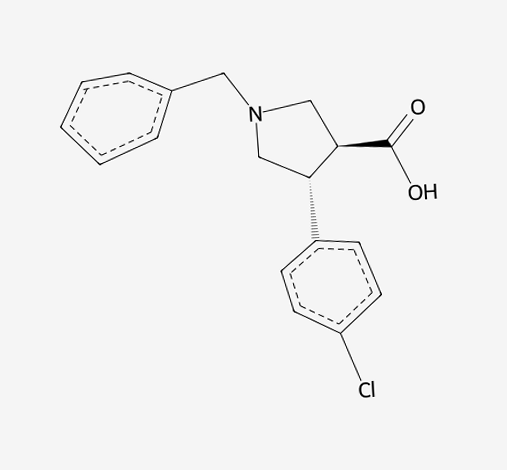 O=C(O)[C@@H]1CN(Cc2ccccc2)C[C@H]1c1ccc(Cl)cc1